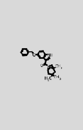 CC1(C)CC2CC(C)(CN2C(=O)c2c[nH]c3ccc(OCc4ccccc4)cc23)C1